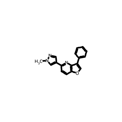 Cn1cc(-c2ccc3occ(-c4ccccc4)c3n2)cn1